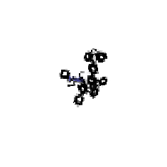 C/C(=C\C=C(/C)N1c2ccc(C3CCCCC3)cc2B2c3ccccc3N(c3ccccc3)c3cc(-c4ccc(N5c6ccccc6Oc6ccccc65)cc4)cc1c32)C1CCCCC1